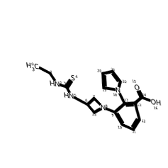 CCNC(=S)NC1CN(c2cccc(C(=O)O)c2-n2cccc2)C1